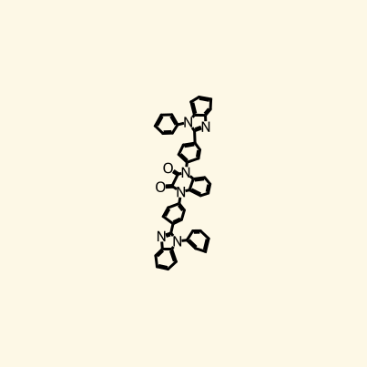 O=c1c(=O)n(-c2ccc(-c3nc4ccccc4n3-c3ccccc3)cc2)c2ccccc2n1-c1ccc(-c2nc3ccccc3n2-c2ccccc2)cc1